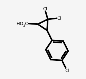 O=C(O)C1C(c2ccc(Cl)cc2)C1(Cl)Cl